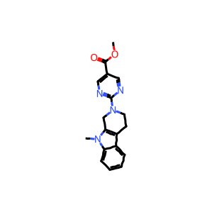 COC(=O)c1cnc(N2CCc3c(n(C)c4ccccc34)C2)nc1